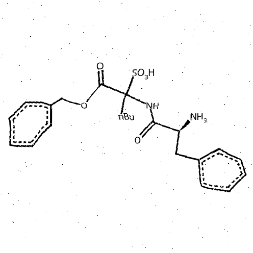 CCCCC(NC(=O)[C@@H](N)Cc1ccccc1)(C(=O)OCc1ccccc1)S(=O)(=O)O